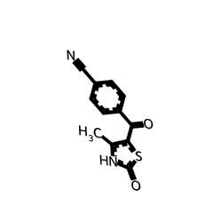 Cc1[nH]c(=O)sc1C(=O)c1ccc(C#N)cc1